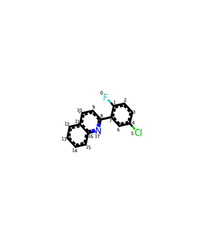 Fc1ccc(Cl)cc1-c1c[c]c2ccccc2n1